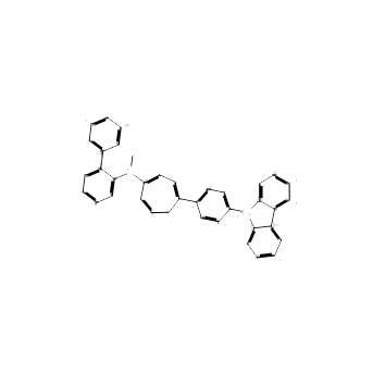 CN(C1=CC=C(c2ccc(-n3c4ccccc4c4ccccc43)cc2)CC=C1)c1ccccc1-c1ccccc1